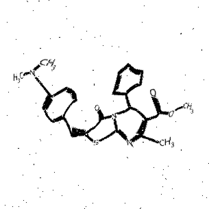 COC(=O)C1=C(C)N=c2s/c(=C/c3ccc(N(C)C)cc3)c(=O)n2C1c1ccccc1